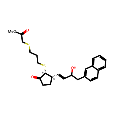 COC(=O)CSCCCS[C@H]1C(=O)CC[C@H]1C=CC(O)Cc1ccc2ccccc2c1